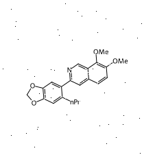 CCCc1cc2c(cc1-c1cc3ccc(OC)c(OC)c3cn1)OCO2